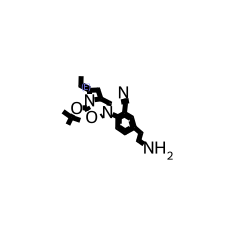 C/C=C1\CC(CN(C)c2ccc(CCN)cc2C#N)N1C(=O)OC(C)(C)C